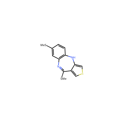 CSC1=Nc2cc(SC)ccc2Nc2cscc21